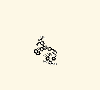 CCC(=O)N1CCN(c2nc(N3CCC(CN4CCN(Cc5ccc(-n6c(O)nnc6-c6cc(CC)c(O)cc6O)cc5)CC4)CC3)nc3c2CCN(c2cccc4cccc(Cl)c24)C3)CC1CC#N